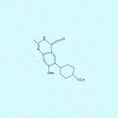 COc1cc2c(cc1C1CCC(C(=O)O)CC1)C(=C=O)NC(C)=N2